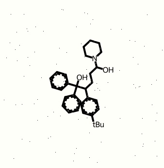 CC(C)(C)c1ccc(C(CCC(O)N2CCCCC2)C(O)(c2ccccc2)c2ccccc2)cc1